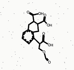 O=COCC(C(=O)O)c1cccc2c1CC(C(=O)O)C(C(=O)O)C2